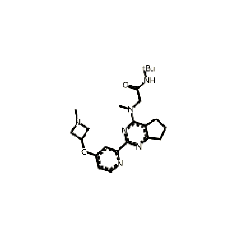 CN1CC(Oc2ccnc(-c3nc4c(c(N(C)CC(=O)NC(C)(C)C)n3)CCC4)c2)C1